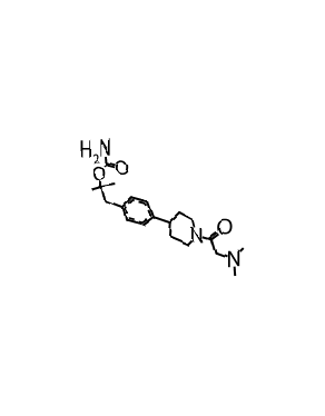 CN(C)CC(=O)N1CCC(c2ccc(CC(C)(C)OC(N)=O)cc2)CC1